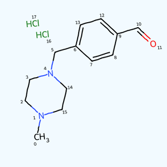 CN1CCN(Cc2ccc(C=O)cc2)CC1.Cl.Cl